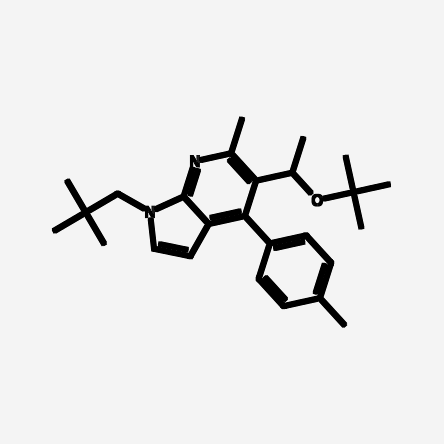 Cc1ccc(-c2c(C(C)OC(C)(C)C)c(C)nc3c2ccn3CC(C)(C)C)cc1